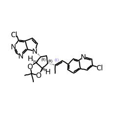 C/C(=C\c1ccc2cc(Cl)cnc2c1)[C@H]1C[C@@H](n2ccc3c(Cl)ncnc32)[C@@H]2OC(C)(C)O[C@@H]21